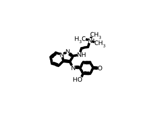 C[N+](C)(C)CCNc1nn2ccccc2c1/N=C1\C=CC(=O)C=C1O